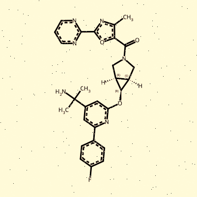 Cc1nc(-c2ncccn2)oc1C(=O)N1C[C@@H]2[C@H](C1)[C@@H]2Oc1cc(C(C)(C)N)cc(-c2ccc(F)cc2)n1